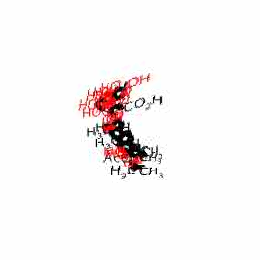 CC=C(C)C(=O)O[C@H]1[C@H](OC(C)=O)[C@]2(CO)[C@H](O)C[C@]3(C)C(=CC[C@@H]4[C@@]5(C)CC[C@@H](O[C@@H]6O[C@H](C(=O)O)[C@@H](O[C@@H]7O[C@H](CO)[C@@H](O)[C@H](O)[C@H]7O)[C@H](O)[C@H]6O[C@@H]6O[C@H](CO)[C@@H](O)[C@H](O)[C@H]6O)[C@](C)(CO)[C@@H]5CC[C@]43C)[C@@H]2CC1(C)C